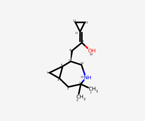 CC1(C)CC2CC2[C@@H](CC(O)=C2CC2)CN1